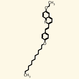 CCCCCCCCCCCCOc1ccc(C=Cc2ccc3cc(OCC)ccc3n2)cc1